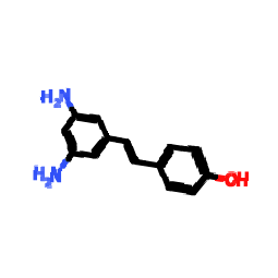 Nc1cc(N)cc(C=Cc2ccc(O)cc2)c1